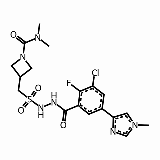 CN(C)C(=O)N1CC(CS(=O)(=O)NNC(=O)c2cc(-c3cn(C)cn3)cc(Cl)c2F)C1